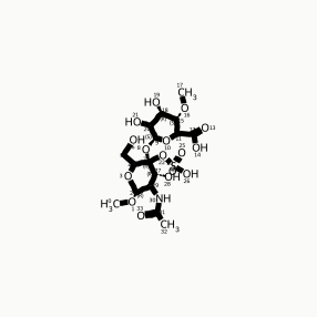 CO[C@@H]1OC(CO)[C@](O[C@@H]2OC(C(=O)O)[C@@H](OC)[C@H](O)C2O)(OS(=O)(=O)O)[C@H](O)C1NC(C)=O